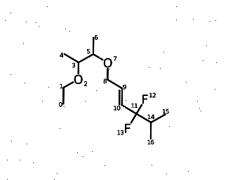 CCOC(C)C(C)OC/C=C/C(F)(F)C(C)C